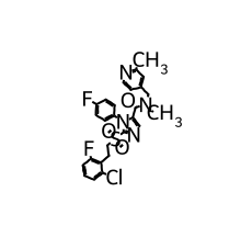 Cc1cc(CN(C)C(=O)c2cnc(S(=O)(=O)CCc3c(F)cccc3Cl)n2-c2ccc(F)cc2)ccn1